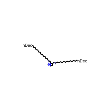 CCCCCCCCCCCCCCCCCCCCCCC/C=C/C1=C(/C=C/CCCCCCCCCCCCCCCCCCCCCCC)[N]C=C1